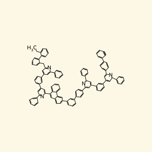 CCc1ccccc1-c1ccccc1Cc1cc(-c2cccc(-c3cc(-c4ccccc4)nc(-c4cc5ccc(-c6cccc(-c7ccc(-c8cc(-c9cccc(-c%10cc(-c%11ccccc%11)nc(-c%11ccc(-c%12c#cccc%12)cc%11)c%10)c9)cc(-c9ccccc9)n8)cc7)c6)cc5c5ccccc45)c3)c2)cc(-c2ccccc2)n1